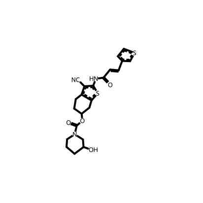 N#Cc1c(NC(=O)C=Cc2ccsc2)sc2c1CCC(OC(=O)N1CCCC(O)C1)C2